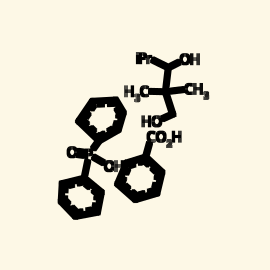 CC(C)C(O)C(C)(C)CO.O=C(O)c1ccccc1.O=P(O)(c1ccccc1)c1ccccc1